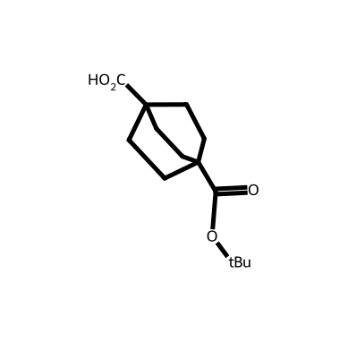 CC(C)(C)OC(=O)C12CCC(C(=O)O)(CC1)CC2